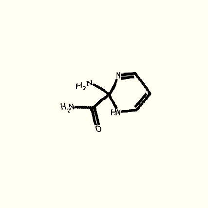 NC(=O)C1(N)N=CC=CN1